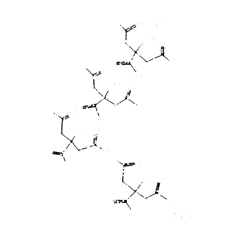 O=C([O-])CC(O)(CC(=O)[O-])C(=O)[O-].O=C([O-])CC(O)(CC(=O)[O-])C(=O)[O-].O=C([O-])CC(O)(CC(=O)[O-])C(=O)[O-].O=C([O-])CC(O)(CC(=O)[O-])C(=O)[O-].[Ir+4].[Ir+4].[Ir+4]